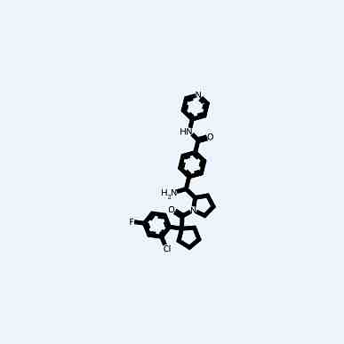 NC(c1ccc(C(=O)Nc2ccncc2)cc1)C1CCCN1C(=O)C1(c2ccc(F)cc2Cl)CCCC1